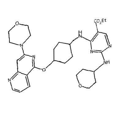 CCOC(=O)c1cnc(NC2CCOCC2)nc1NC1CCC(Oc2nc(N3CCOCC3)cc3ncccc23)CC1